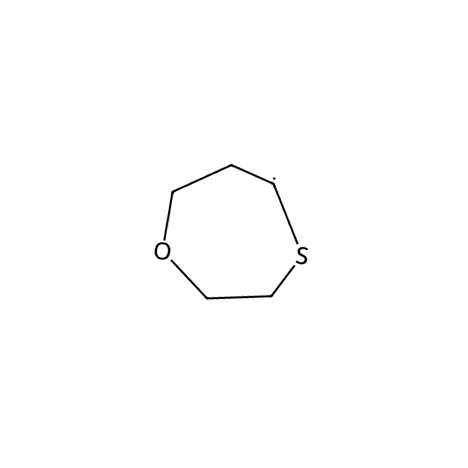 [CH]1CCOCCS1